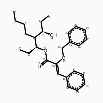 CCCCC([C@H](O)CC)[C@H](CC)OC(=O)C(=Cc1ccccc1)OCc1ccccc1